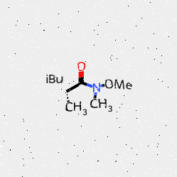 CC[C@H](C)[C@@H](C)C(=O)N(C)OC